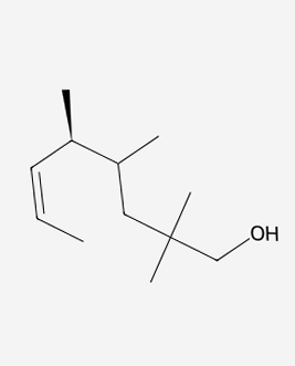 C/C=C\[C@@H](C)C(C)CC(C)(C)CO